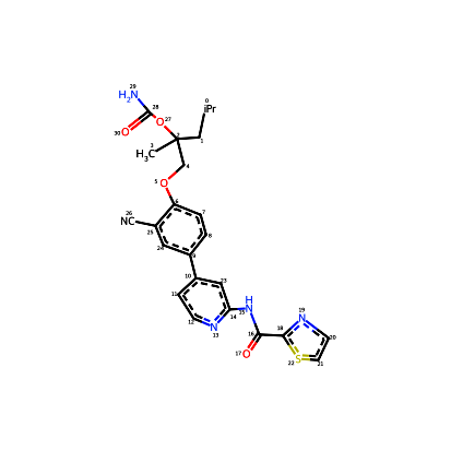 CC(C)CC(C)(COc1ccc(-c2ccnc(NC(=O)c3nccs3)c2)cc1C#N)OC(N)=O